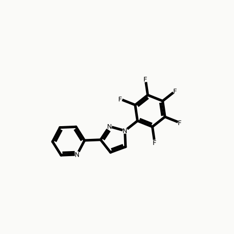 Fc1c(F)c(F)c(-n2ccc(-c3ccccn3)n2)c(F)c1F